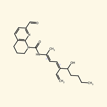 C=C/C(=C\C=C(/C)NC(=O)N1CCCc2ccc(C=O)nc21)C(O)CCCC